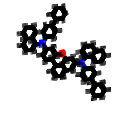 c1ccc(-c2ccc(N(c3ccc4c(c3)Oc3cc(N(c5ccc(-c6ccccc6)cc5)c5cccc6ccccc56)cc5cccc-4c35)c3cccc4ccccc34)cc2)cc1